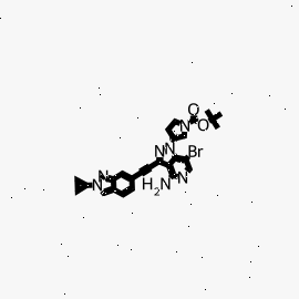 CC(C)(C)OC(=O)N1CC[C@H](n2nc(C#Cc3ccc4cn(C5CC5)nc4c3)c3c(N)ncc(Br)c32)C1